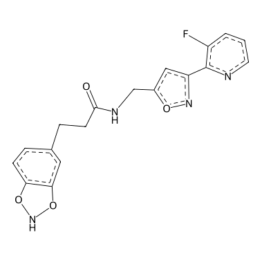 O=C(CCc1ccc2c(c1)ONO2)NCc1cc(-c2ncccc2F)no1